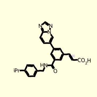 CC(C)c1ccc(CNC(=O)c2cc(/C=C/C(=O)O)cc(-c3ccc4ncnn4c3)c2)cc1